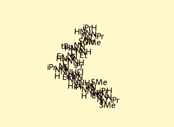 CC(C)Nc1nc(Cl)nc(NC(C)C)n1.CCNc1nc(Cl)nc(NC(C)C)n1.CCNc1nc(Cl)nc(NCC)n1.CCNc1nc(NC(C)(C)C)nc(SC)n1.CCNc1nc(NC(C)C)nc(SC)n1.COc1nc(NC(C)C)nc(NC(C)C)n1.CSc1nc(NC(C)C)nc(NC(C)C)n1